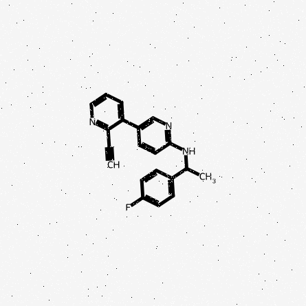 C#Cc1ncccc1-c1ccc(NC(C)c2ccc(F)cc2)nc1